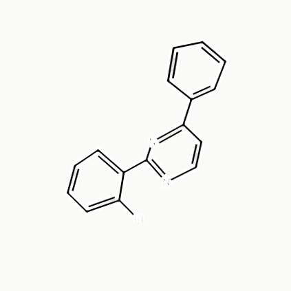 Clc1ccccc1-c1nccc(-c2ccccc2)n1